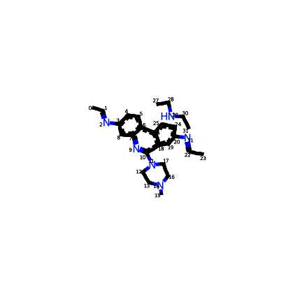 CC=Nc1ccc2c(c1)nc(N1CCN(C)CC1)c1cc(N=CC)ccc12.CCNCC